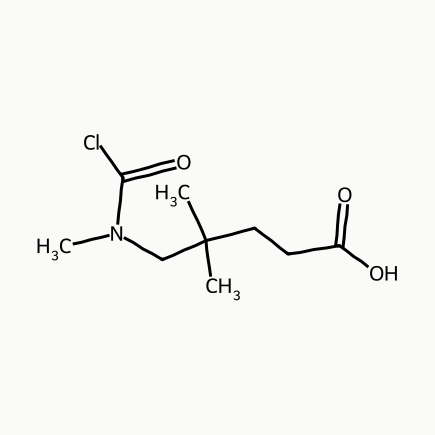 CN(CC(C)(C)CCC(=O)O)C(=O)Cl